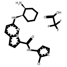 N[C@H]1CCCC[C@H]1Nc1ccc2ccc(C(=O)Nc3ccsc3Cl)n2n1.O=C(O)C(F)(F)F